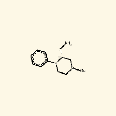 CC(C)(C)N1CCN(c2ccccc2)[C@H](CN)C1